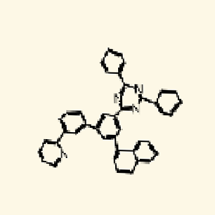 c1ccc(-c2nc(-c3ccccc3)nc(-c3cc(-c4cccc(-c5ccccn5)c4)cc(-c4cccc5ccccc45)c3)n2)cc1